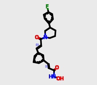 O=C(/C=C/c1cccc(/C=C/C(=O)N2CCCC(c3ccc(F)cc3)C2)c1)NO